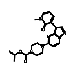 CC(C)OC(=O)N1CCN(c2ccn3ncc(-c4cccn(C)c4=O)c3n2)CC1